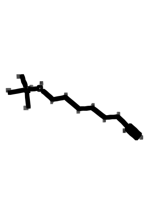 C#CCCCCCCO[Si](C)(C)C